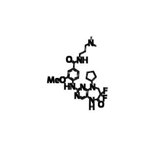 COc1cc(C(=O)NCCCN(C)C)ccc1Nc1ncc2c(n1)N(C1CCCC1)CC(F)(F)C(=O)N2